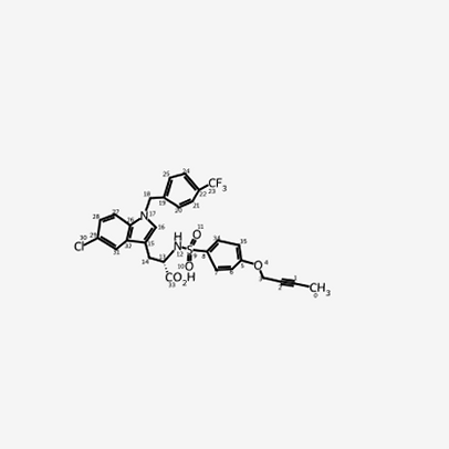 CC#CCOc1ccc(S(=O)(=O)N[C@@H](Cc2cn(Cc3ccc(C(F)(F)F)cc3)c3ccc(Cl)cc23)C(=O)O)cc1